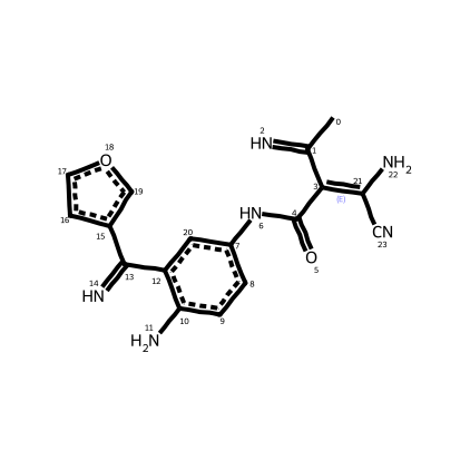 CC(=N)/C(C(=O)Nc1ccc(N)c(C(=N)c2ccoc2)c1)=C(\N)C#N